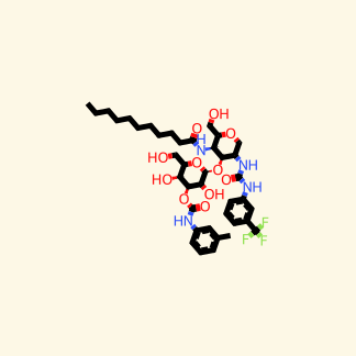 CCCCCCCCCCC(=O)N[C@H]1C(CO)OCC(NC(=O)Nc2cccc(C(F)(F)F)c2)[C@H]1O[C@H]1OC(CO)[C@H](O)[C@H](OC(=O)Nc2cccc(C)c2)C1O